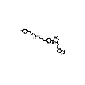 O=C(COCc1ccc(F)cc1)NCCCc1ccc(CNC(CO)CCc2ccc3c(c2)OCO3)cc1